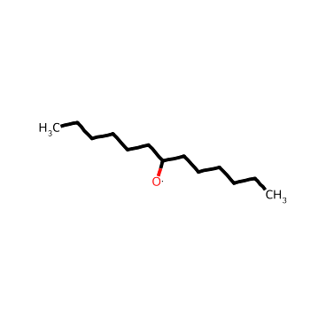 CCCCCCC([O])CCCCCC